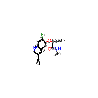 C#Cc1cnc2cc(F)c(OC(SC)C(=O)NC(C)C)cc2c1